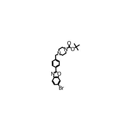 CC(C)(C)OC(=O)N1CCN(Cc2ccc(-c3nc4ccc(Br)cc4o3)cc2)CC1